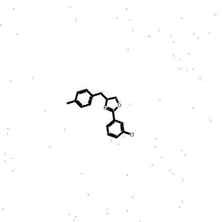 Cc1ccc(CC2COC(c3cccc(Cl)c3)=N2)cc1